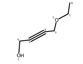 CCOCC#CCO